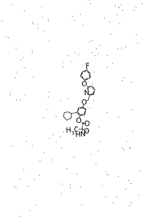 CC1(C(=O)Oc2ccc(OCc3cccc(Oc4ccc(F)cc4)n3)cc2C2CCCCC2)NO1